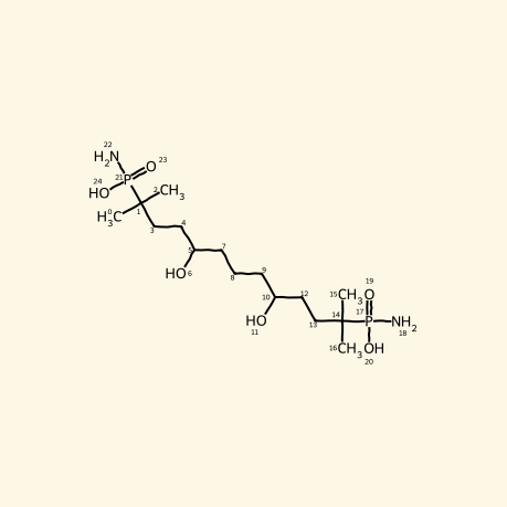 CC(C)(CCC(O)CCCC(O)CCC(C)(C)P(N)(=O)O)P(N)(=O)O